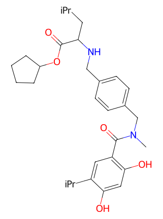 CC(C)CC(NCc1ccc(CN(C)C(=O)c2cc(C(C)C)c(O)cc2O)cc1)C(=O)OC1CCCC1